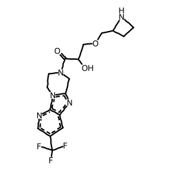 O=C(C(O)COCC1CCN1)N1CCn2c(nc3cc(C(F)(F)F)cnc32)C1